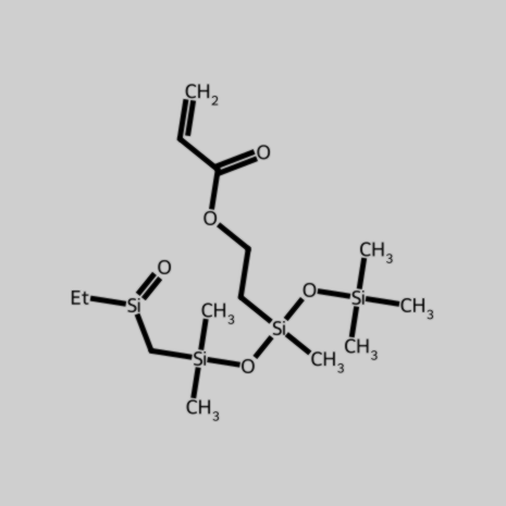 C=CC(=O)OCC[Si](C)(O[Si](C)(C)C)O[Si](C)(C)C[Si](=O)CC